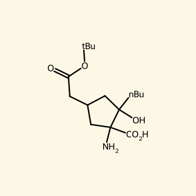 CCCCC1(O)CC(CC(=O)OC(C)(C)C)CC1(N)C(=O)O